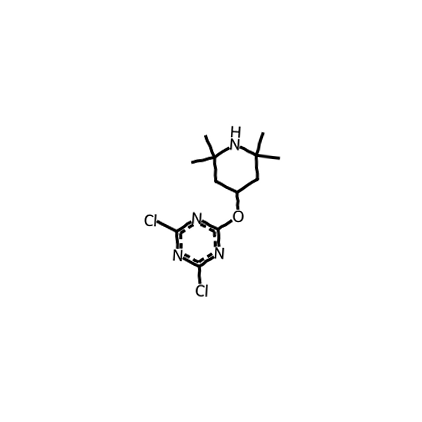 CC1(C)CC(Oc2nc(Cl)nc(Cl)n2)CC(C)(C)N1